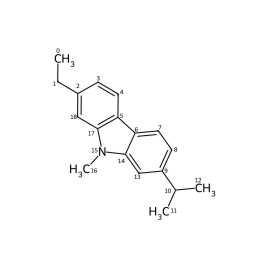 CCc1ccc2c3ccc(C(C)C)cc3n(C)c2c1